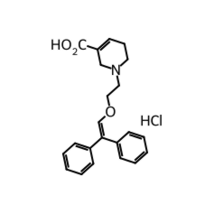 Cl.O=C(O)C1=CCCN(CCOC=C(c2ccccc2)c2ccccc2)C1